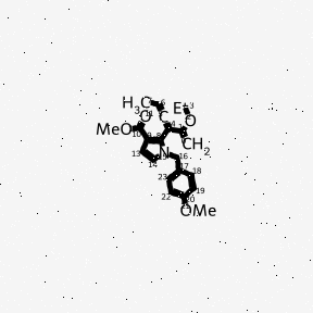 C=C(OCC)C(=C=CC)c1c(C(=O)OC)ccn1Cc1ccc(OC)cc1